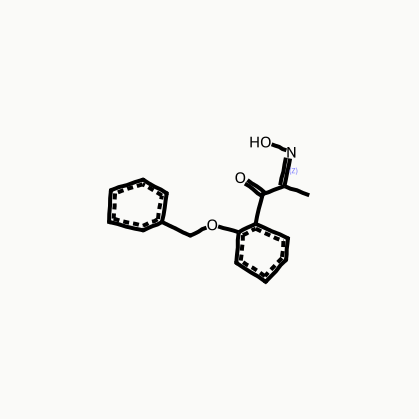 C/C(=N/O)C(=O)c1ccccc1OCc1ccccc1